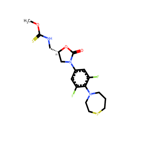 COC(=S)NC[C@H]1CN(c2cc(F)c(N3CCCSCC3)c(F)c2)C(=O)O1